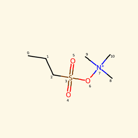 CCCS(=O)(=O)O[N+](C)(C)C